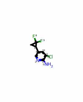 Nc1ncc(C2CC2(F)F)cc1Cl